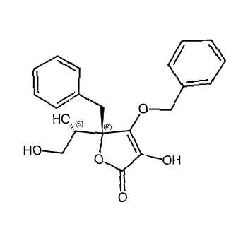 O=C1O[C@](Cc2ccccc2)([C@@H](O)CO)C(OCc2ccccc2)=C1O